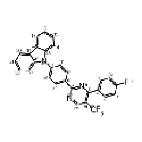 Fc1ccc(-c2nc(-c3ccc(-n4c5ccccc5c5ccccc54)cc3)ncc2C(F)(F)F)cc1